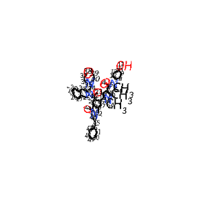 Cc1c(C(=O)N(C)c2ccc(O)cc2)cc(-c2cc3c(cc2C(=O)N2Cc4ccccc4C[C@H]2CN2CCOCC2)C(=O)N(CCc2ccccc2)C3)n1C